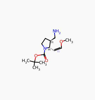 CO/C=C\[C@H]1[C@H](CN)CCN1C(=O)OC(C)(C)C